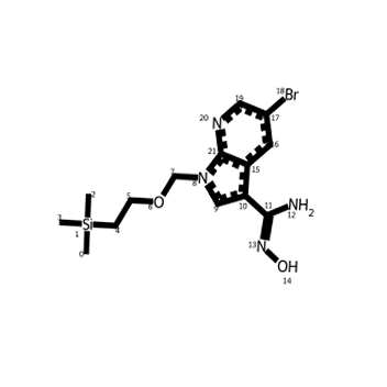 C[Si](C)(C)CCOCn1cc(/C(N)=N/O)c2cc(Br)cnc21